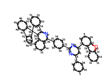 c1ccc(-c2cc(-c3cccc4oc5ccccc5c34)nc(-c3ccc(-c4nc5c(c6ccccc46)C4(c6ccccc6-c6ccccc64)c4ccccc4-5)cc3)n2)cc1